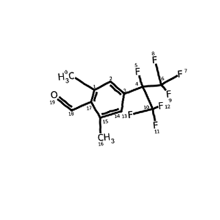 Cc1cc(C(F)(C(F)(F)F)C(F)(F)F)cc(C)c1C=O